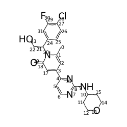 Cc1cc(-c2ccnc(NC3CCOCC3)n2)cc(=O)n1C(CO)c1ccc(Cl)c(F)c1